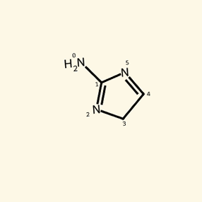 NC1=NCC=N1